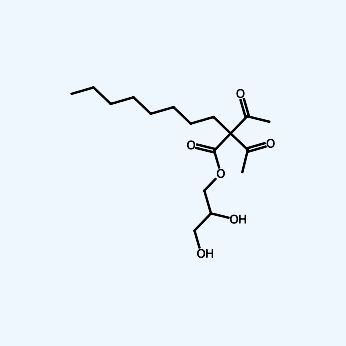 CCCCCCCCC(C(C)=O)(C(C)=O)C(=O)OCC(O)CO